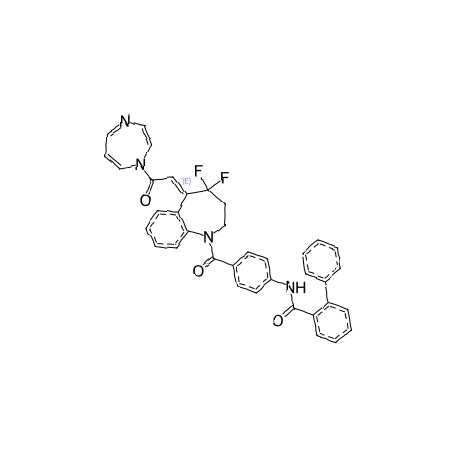 O=C(Nc1ccc(C(=O)N2CCC(F)(F)/C(=C/C(=O)N3C=CC=NC=C3)c3ccccc32)cc1)c1ccccc1-c1ccccc1